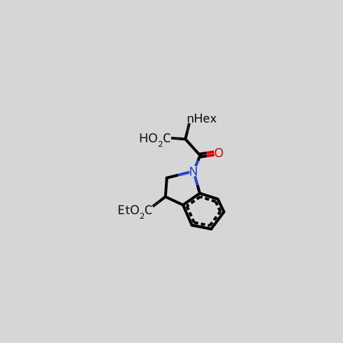 CCCCCCC(C(=O)O)C(=O)N1CC(C(=O)OCC)c2ccccc21